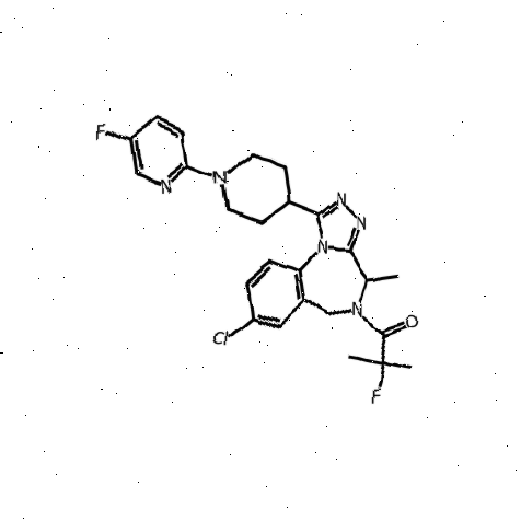 CC1c2nnc(C3CCN(c4ccc(F)cn4)CC3)n2-c2ccc(Cl)cc2CN1C(=O)C(C)(C)F